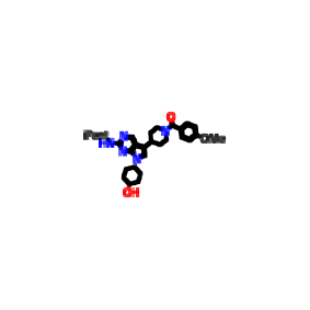 CCC[C@H](C)Nc1ncc2c(C3CCN(C(=O)c4ccc(OC)cc4)CC3)cn([C@H]3CC[C@H](O)CC3)c2n1